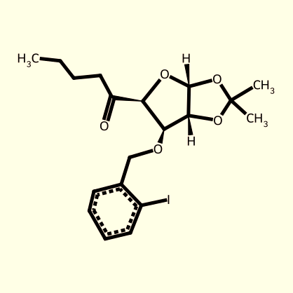 CCCCC(=O)[C@H]1O[C@@H]2OC(C)(C)O[C@@H]2[C@H]1OCc1ccccc1I